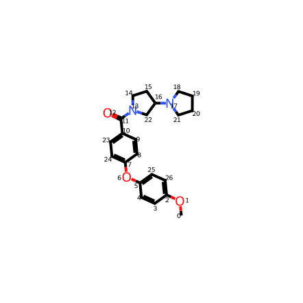 COc1ccc(Oc2ccc(C(=O)N3CCC(N4CCCC4)C3)cc2)cc1